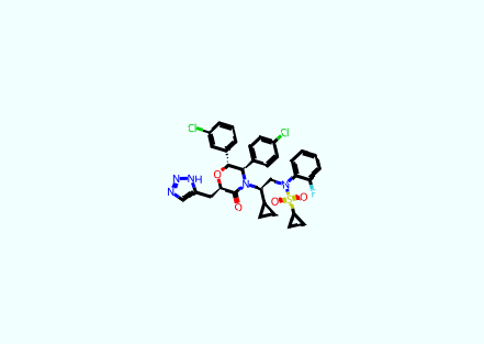 O=C1[C@@H](Cc2cnn[nH]2)O[C@H](c2cccc(Cl)c2)[C@@H](c2ccc(Cl)cc2)N1[C@@H](CN(c1ccccc1F)S(=O)(=O)C1CC1)C1CC1